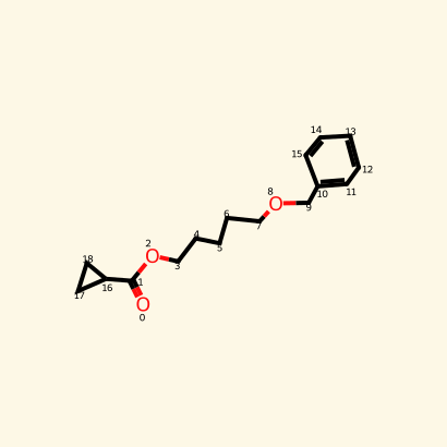 O=C(OCCCCCOCc1ccccc1)C1CC1